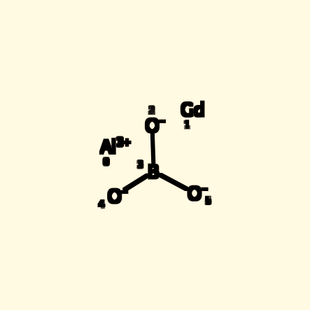 [Al+3].[Gd].[O-]B([O-])[O-]